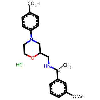 COc1cccc([C@@H](C)NCC2CN(c3ccc(C(=O)O)cc3)CCO2)c1.Cl